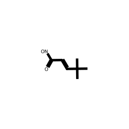 CC(C)(C)/C=C/C(=O)N=O